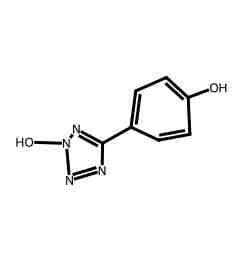 Oc1ccc(-c2nnn(O)n2)cc1